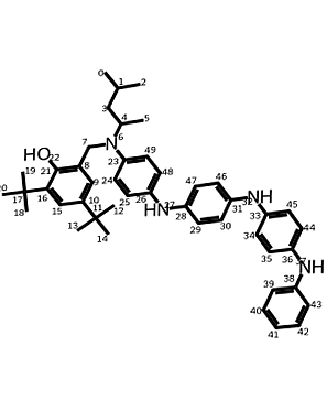 CC(C)CC(C)N(Cc1cc(C(C)(C)C)cc(C(C)(C)C)c1O)c1ccc(Nc2ccc(Nc3ccc(Nc4ccccc4)cc3)cc2)cc1